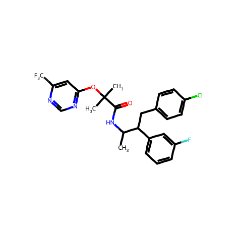 CC(NC(=O)C(C)(C)Oc1cc(C(F)(F)F)ncn1)C(Cc1ccc(Cl)cc1)c1cccc(F)c1